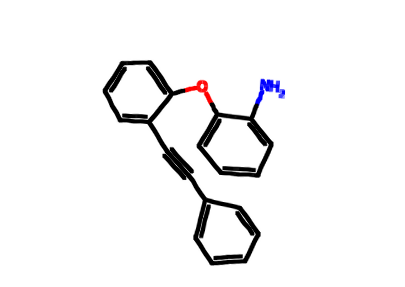 Nc1ccccc1Oc1ccccc1C#Cc1ccccc1